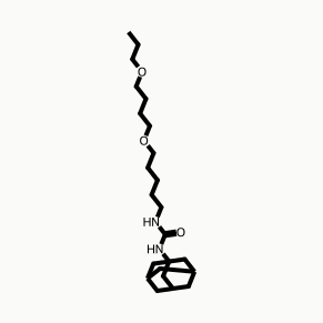 CCCOCCCCOCCCCCNC(=O)NC12CC3CC(CC(C3)C1)C2